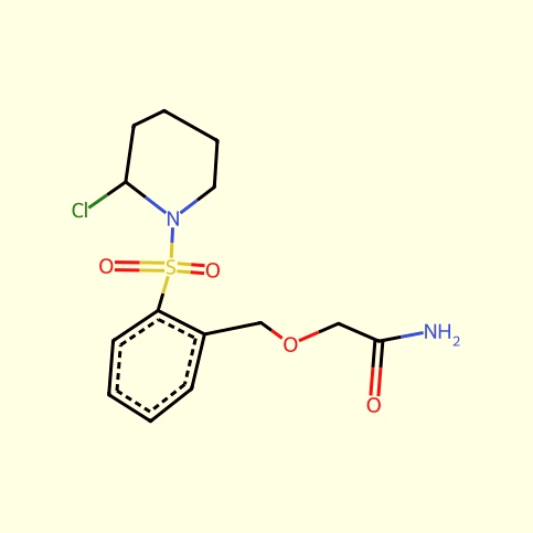 NC(=O)COCc1ccccc1S(=O)(=O)N1CCCCC1Cl